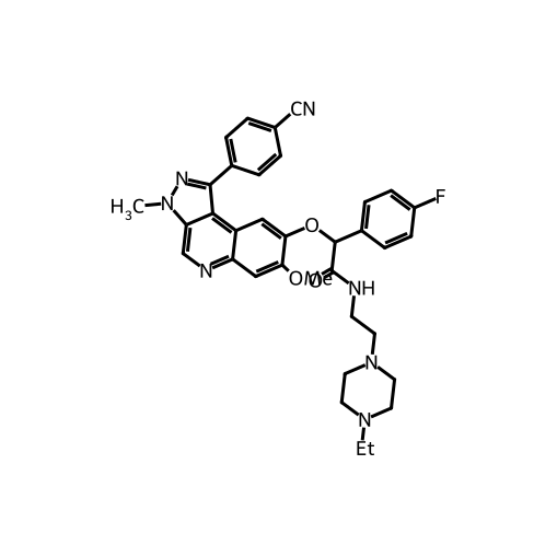 CCN1CCN(CCNC(=O)C(Oc2cc3c(cc2OC)ncc2c3c(-c3ccc(C#N)cc3)nn2C)c2ccc(F)cc2)CC1